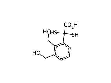 O=C(O)C(S)(S)c1cccc(CO)c1CO